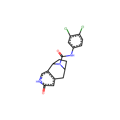 O=C(Nc1ccc(Cl)c(Cl)c1)N1C2CCC1c1c[nH]c(=O)cc1C2